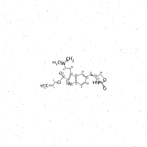 C=CCOC(=O)c1[nH]c2ccc(C[C@H]3COC(=O)N3)cc2c1CCN(C)C